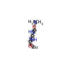 CN(C)CCCOc1ccc2cc(-c3ccc(-c4nc5ccc(C(=O)OC(C)(C)C)cc5[nH]4)cc3)[nH]c2c1